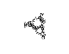 COCC[C@@H]1[C@@H](C)CCC[C@@H]([C@H]2OC[C@@H](N(C)C)CO2)[C@@H]2CC[C@H]2CN2CCCCc3cc(Cl)ccc3COc3ccc(cc32)C(=O)NS1(=O)=O